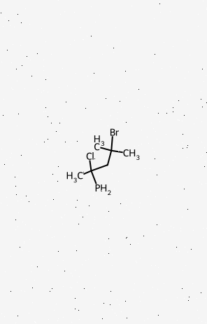 CC(P)(Cl)CC(C)(C)Br